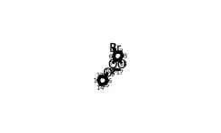 Brc1ccc2c(c1)O[C@H](COc1ccccc1)CO2